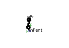 CCCCC/C=C(/F)c1ccc(CCc2ccc(CCC)cc2)c(F)c1